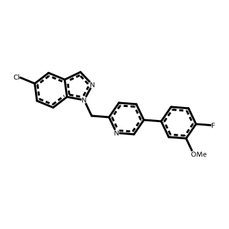 COc1cc(-c2ccc(Cn3ncc4cc(Cl)ccc43)nc2)ccc1F